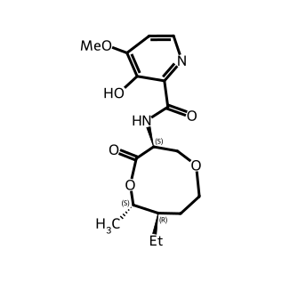 CC[C@@H]1CCOC[C@H](NC(=O)c2nccc(OC)c2O)C(=O)O[C@H]1C